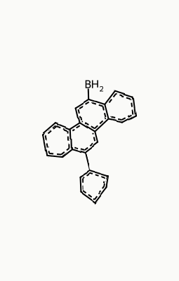 Bc1cc2c3ccccc3c(-c3ccccc3)cc2c2ccccc12